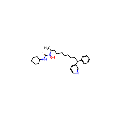 CC(CCCCCCCC(c1ccccc1)c1cccnc1)N(O)C(=S)NC1CCCCC1